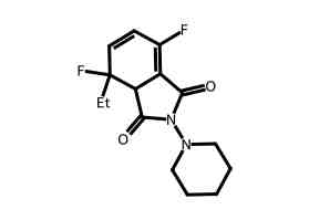 CCC1(F)C=CC(F)=C2C(=O)N(N3CCCCC3)C(=O)C21